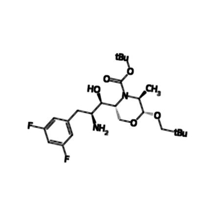 C[C@H]1[C@H](OCC(C)(C)C)OC[C@H]([C@H](O)[C@@H](N)Cc2cc(F)cc(F)c2)N1C(=O)OC(C)(C)C